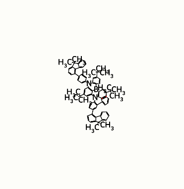 CC(C)(C)c1ccc2c(c1)B1c3ccc(C(C)(C)C)cc3N(c3ccc(-c4cccc5c4-c4ccccc4C5(C)C)cc3)c3cc(C(C)(C)C)cc(c31)N2c1ccc(-c2cccc3c2-c2ccccc2C3(C)C)cc1-c1ccccc1